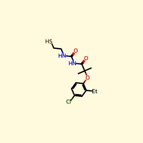 CCc1cc(Cl)ccc1OC(C)(C)C(=O)NC(=O)NCCS